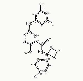 COc1ccc(Nc2cc(F)nc(F)c2)nc1C(=O)NC1(c2ccc(Cl)nc2)CCC1